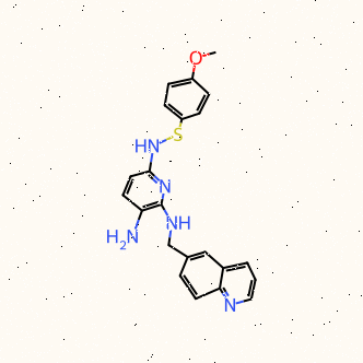 COc1ccc(SNc2ccc(N)c(NCc3ccc4ncccc4c3)n2)cc1